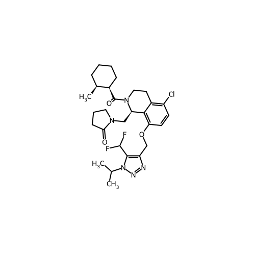 CC(C)n1nnc(COc2ccc(Cl)c3c2[C@@H](CN2CCCC2=O)N(C(=O)[C@@H]2CCCC[C@@H]2C)CC3)c1C(F)F